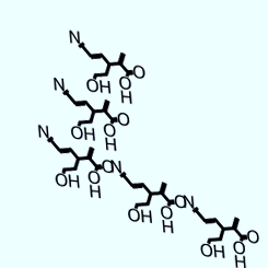 C=C(C(=O)O)C(C=CC#N)CCO.C=C(C(=O)O)C(C=CC#N)CCO.C=C(C(=O)O)C(C=CC#N)CCO.C=C(C(=O)O)C(C=CC#N)CCO.C=C(C(=O)O)C(C=CC#N)CCO